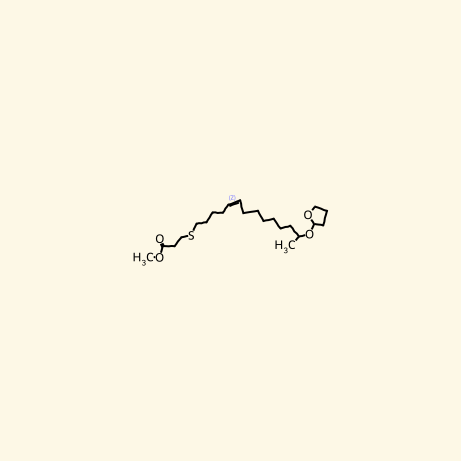 COC(=O)CCSCCCC/C=C\CCCCCCC(C)OC1CCCO1